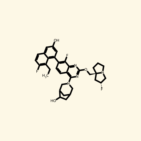 CCc1c(F)ccc2cc(O)cc(-c3ccc4c(N5CC6CC(O)C(C6)C5)nc(OC[C@@]56CCCN5C[C@H](F)C6)nc4c3F)c12